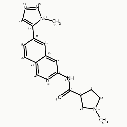 CN1CCC(C(=O)Nc2cc3cc(-c4cnnn4C)ccc3cn2)C1